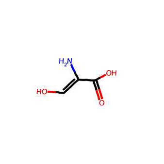 NC(=CO)C(=O)O